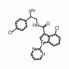 CCCC(CNC(=O)c1cn(-c2ncccn2)c2cccc(Cl)c12)c1ccc(Cl)cc1